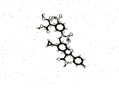 CNC(=O)c1c(-c2ccc(F)cc2)oc2cc(CN(c3ccc([N+](=O)[O-])c(C(C(=O)OC)C(=O)OC)c3)[SH](=O)=O)c(C3CC3)cc12